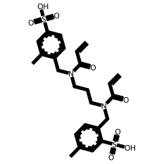 C=CC(=O)N(CCCN(Cc1ccc(C)cc1S(=O)(=O)O)C(=O)C=C)Cc1ccc(S(=O)(=O)O)cc1C